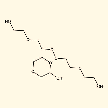 OC1COCCO1.OCCOCCOOCCOCCO